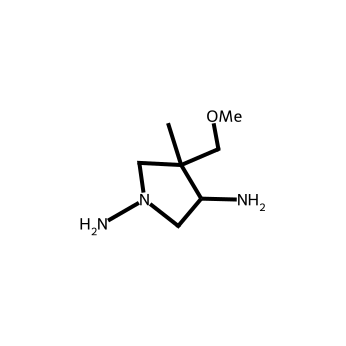 COCC1(C)CN(N)CC1N